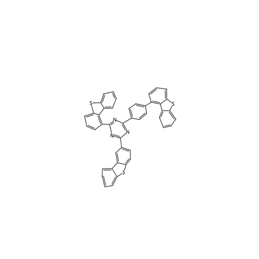 c1ccc2c(c1)sc1ccc(-c3nc(-c4ccc(-c5cccc6sc7ccccc7c56)cc4)nc(-c4cccc5sc6ccccc6c45)n3)cc12